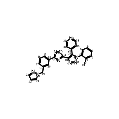 Fc1ccccc1-n1nnc(-c2nc(-c3cccc(Cn4cccn4)c3)no2)c1-c1ccncc1